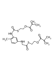 C=C(C)C(=O)OCCSC(=O)CNc1ccc(C)c(NC(=O)SCCOC(=O)C(=C)C)c1